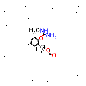 CNC(N)=O.COC=O.Cc1ccccc1